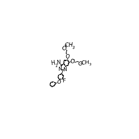 COCCOc1cc2nc(-c3ccc(Oc4ccccc4)c(F)c3)nc(N)c2cc1OCCOC